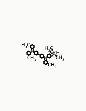 CCO[Si](C)(OCC)c1ccc(N(c2ccc(-c3ccc(N(c4cccc(C)c4)c4cccc(C)c4)cc3)cc2)c2cccc(C)c2)cc1